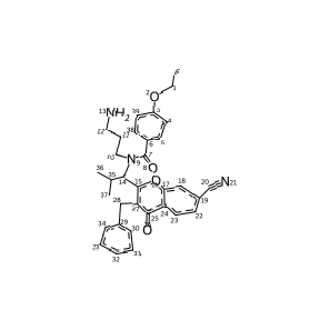 CCOc1ccc(C(=O)N(CCCN)C(c2oc3cc(C#N)ccc3c(=O)c2Cc2ccccc2)C(C)C)cc1